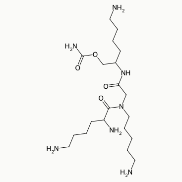 NCCCCCN(CC(=O)NC(CCCCN)COC(N)=O)C(=O)C(N)CCCCN